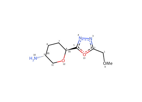 COCc1nnc([C@@H]2CC[C@@H](N)CO2)o1